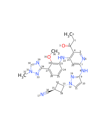 CCC(=O)c1cnc(Nc2ccn([C@H]3C[C@H](C#N)C3)n2)cc1Nc1cccc(-c2ncn(C)n2)c1OC